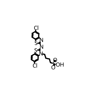 O=S(=O)(O)CCCCn1/c(=N/c2nc3cc(Cl)ccc3s2)sc2ccc(Cl)cc21